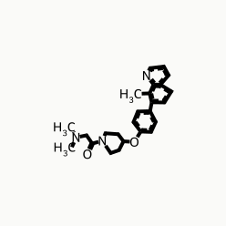 Cc1c(-c2ccc(OC3CCN(C(=O)CN(C)C)CC3)cc2)ccc2cccnc12